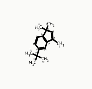 CC1=CC(C)(C)c2ccc(C(C)(C)C)cc21